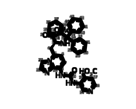 COC(=O)[C@H](Cc1ccc(NC(=O)Nc2cnccc2C(=O)O)c2nccn12)NC(c1ccccc1)(c1ccccc1)c1ccccc1